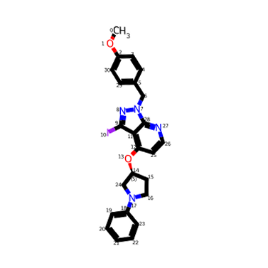 COc1ccc(Cn2nc(I)c3c(O[C@H]4CCN(c5ccccc5)C4)ccnc32)cc1